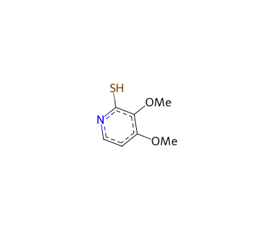 COc1ccnc(S)c1OC